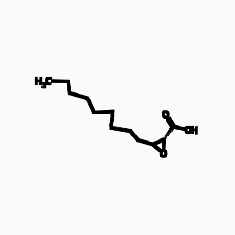 CCCCCCCCCC1O[C@H]1C(=O)O